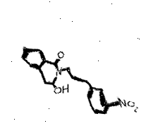 O=C1c2ccccc2CC(O)N1C/C=C/c1cccc([N+](=O)[O-])c1